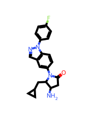 NC1CC(=O)N(c2ccc3c(cnn3-c3ccc(F)cc3)c2)C1CC1CC1